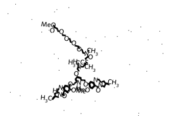 C/C=C1\CC2C=Nc3cc(OCC4C=C(OCCN(C)CC(C)(C)SCC(=O)N(C)CCOCCOCCOCCOCCC(=O)OC)C=C(COc5cc6c(cc5OC)C(=O)N5C/C(=C/C)C[C@H]5C=N6)N4)c(OC)cc3C(=O)N2C1